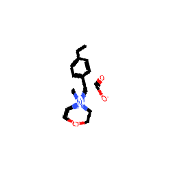 C=Cc1ccc(C[N+]2(C)CCOCC2)cc1.O=C[O-]